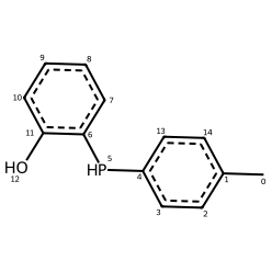 Cc1ccc(Pc2ccccc2O)cc1